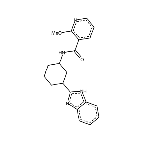 COc1ncccc1C(=O)NC1CCCC(c2nc3ccccc3[nH]2)C1